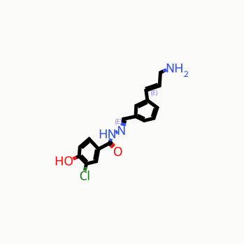 NC/C=C/c1cccc(/C=N/NC(=O)c2ccc(O)c(Cl)c2)c1